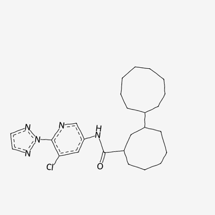 O=C(Nc1cnc(-n2nccn2)c(Cl)c1)C1CCCCCC(C2CCCCCCCC2)C1